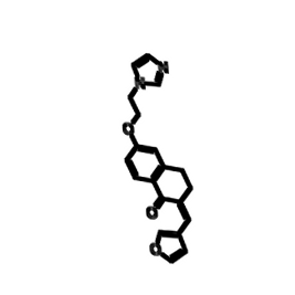 O=C1/C(=C\c2ccoc2)CCc2cc(OCCn3ccnc3)ccc21